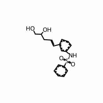 O=S(=O)(Nc1cccc(C=CCC(O)CO)c1)c1ccccc1